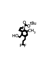 Cc1cc(CCC(F)F)c(CO)c2ccn(C(=O)OC(C)(C)C)c12